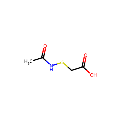 CC(=O)NSCC(=O)O